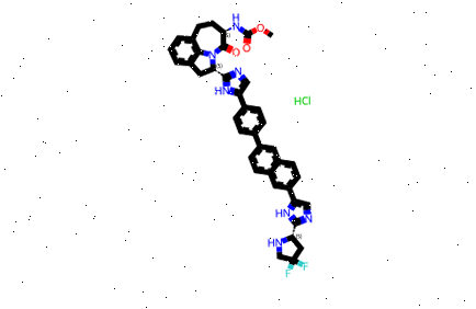 COC(=O)N[C@H]1CCc2cccc3c2N(C1=O)[C@H](c1ncc(-c2ccc(-c4ccc5cc(-c6cnc([C@@H]7CC(F)(F)CN7)[nH]6)ccc5c4)cc2)[nH]1)C3.Cl